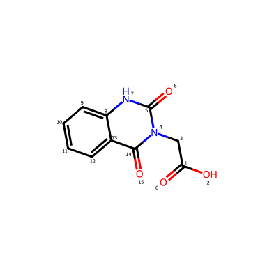 O=C(O)Cn1c(=O)[nH]c2ccccc2c1=O